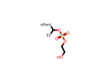 CCCCCC(CC)OS(=O)(=O)OCCO